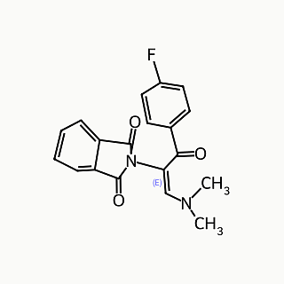 CN(C)/C=C(\C(=O)c1ccc(F)cc1)N1C(=O)c2ccccc2C1=O